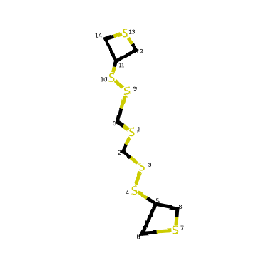 C(SCSSC1CSC1)SSC1CSC1